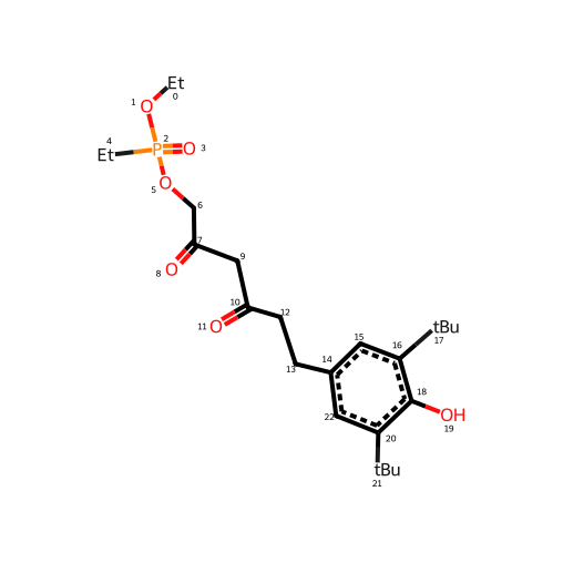 CCOP(=O)(CC)OCC(=O)CC(=O)CCc1cc(C(C)(C)C)c(O)c(C(C)(C)C)c1